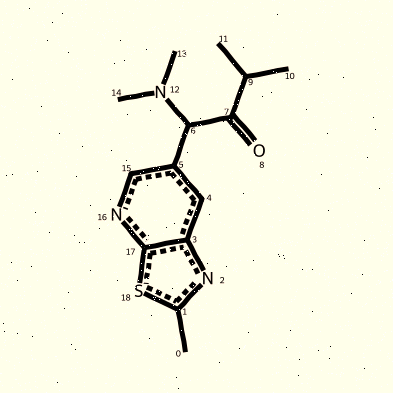 Cc1nc2cc(C(C(=O)C(C)C)N(C)C)cnc2s1